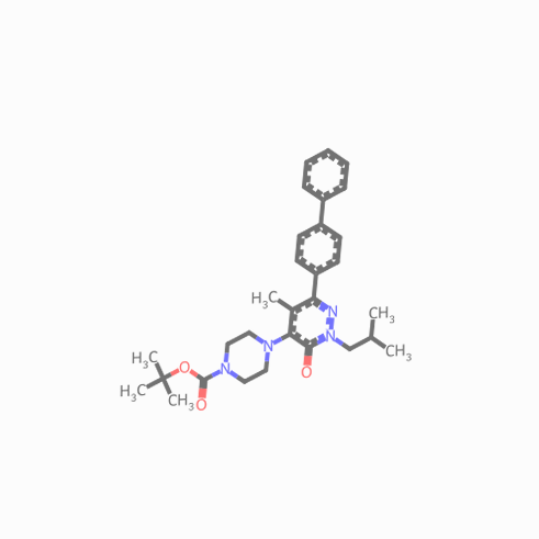 Cc1c(-c2ccc(-c3ccccc3)cc2)nn(CC(C)C)c(=O)c1N1CCN(C(=O)OC(C)(C)C)CC1